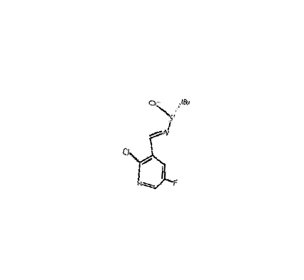 CC(C)(C)[S@@+]([O-])N=Cc1cc(F)cnc1Cl